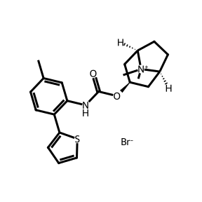 Cc1ccc(-c2cccs2)c(NC(=O)O[C@H]2C[C@H]3CC[C@@H](C2)[N+]3(C)C)c1.[Br-]